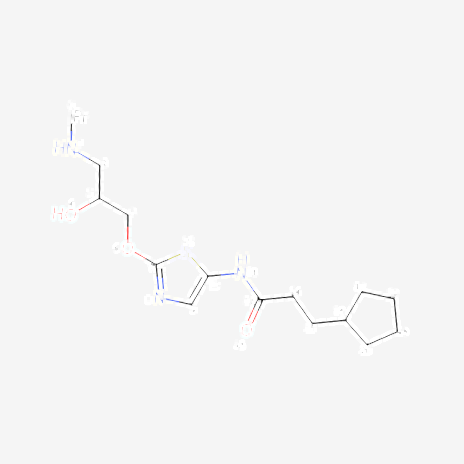 CC(C)NCC(O)COc1ncc(NC(=O)CCC2CCCC2)s1